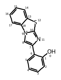 Oc1ccccc1-c1cn2c(n1)sc1ccccc12